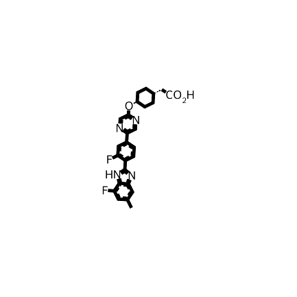 Cc1cc(F)c2[nH]c(-c3ccc(-c4cnc(O[C@H]5CC[C@@H](CC(=O)O)CC5)cn4)cc3F)nc2c1